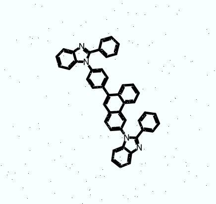 c1ccc(-c2nc3ccccc3n2-c2ccc(-c3cc4ccc(-n5c(-c6ccccc6)nc6ccccc65)cc4c4ccccc34)cc2)cc1